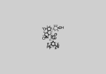 COc1ccc([C@H]2CC[C@@H](O)CC2)cc1-c1ccc(Cl)nc1CN1C(=O)O[C@H](c2cc(C(F)(F)F)cc(C(F)(F)F)c2)[C@@H]1C